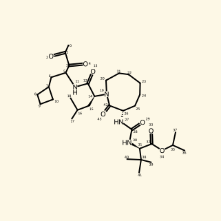 CC(=O)C(=O)C(CC1CCC1)NC(=O)[C@H](CC(C)C)N1CCCCCC[C@H](NC(=O)N[C@@H](C(=O)OC(C)C)C(C)(C)C)C1=O